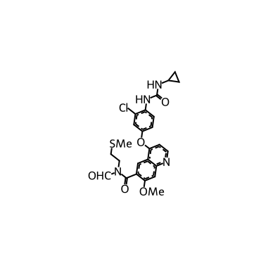 COc1cc2nccc(Oc3ccc(NC(=O)NC4CC4)c(Cl)c3)c2cc1C(=O)N(C=O)CCSC